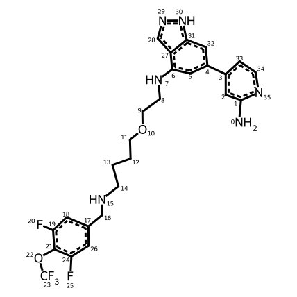 Nc1cc(-c2cc(NCCOCCCCNCc3cc(F)c(OC(F)(F)F)c(F)c3)c3cn[nH]c3c2)ccn1